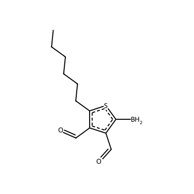 Bc1sc(CCCCCC)c(C=O)c1C=O